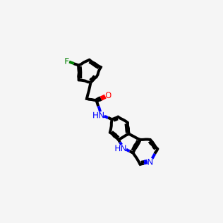 O=C(Cc1cccc(F)c1)Nc1ccc2c(c1)[nH]c1cnccc12